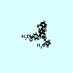 C=CC(=O)N1CCN(c2nc(OC[C@@H]3CCCN3C)nc3c(F)c(-c4ccccc4F)ncc23)CC1